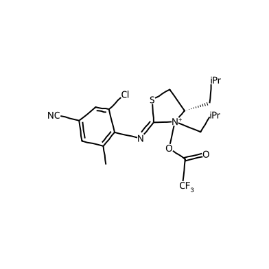 Cc1cc(C#N)cc(Cl)c1N=C1SC[C@H](CC(C)C)[N+]1(CC(C)C)OC(=O)C(F)(F)F